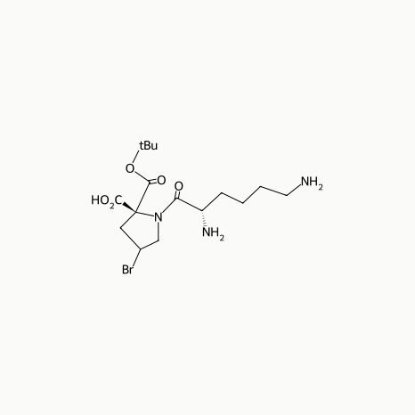 CC(C)(C)OC(=O)[C@@]1(C(=O)O)CC(Br)CN1C(=O)[C@@H](N)CCCCN